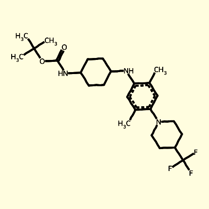 Cc1cc(N2CCC(C(F)(F)F)CC2)c(C)cc1NC1CCC(NC(=O)OC(C)(C)C)CC1